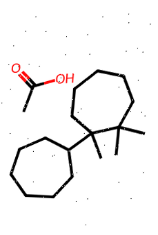 CC(=O)O.CC1(C)CCCCCC1(C)C1CCCCCC1